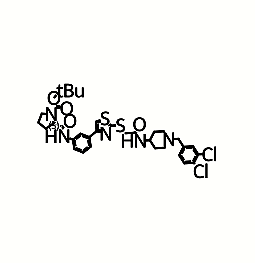 CC(C)(C)OC(=O)N1CCC[C@H]1C(=O)Nc1cccc(-c2csc(SCC(=O)NC3CCN(Cc4ccc(Cl)c(Cl)c4)CC3)n2)c1